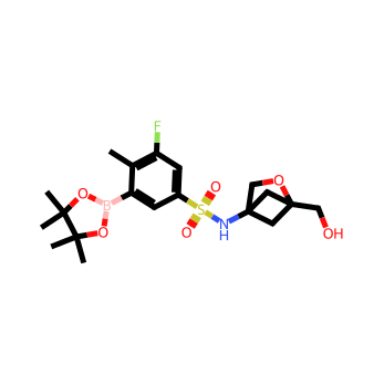 Cc1c(F)cc(S(=O)(=O)NC23COC(CO)(C2)C3)cc1B1OC(C)(C)C(C)(C)O1